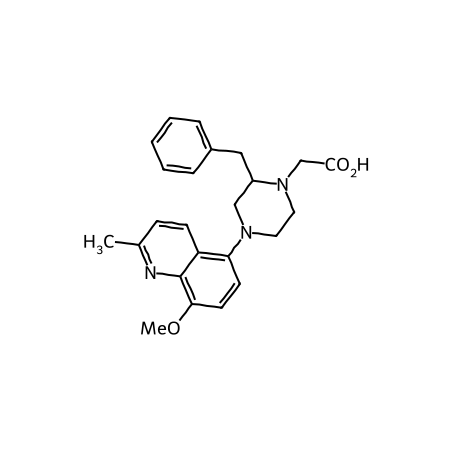 COc1ccc(N2CCN(CC(=O)O)C(Cc3ccccc3)C2)c2ccc(C)nc12